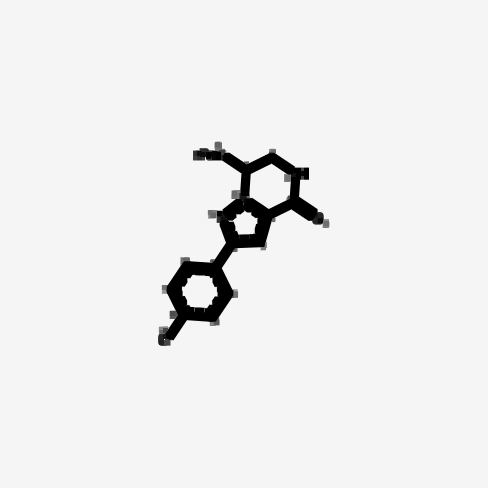 CCCCCC1CNC(=O)c2cc(-c3ccc(Cl)cc3)nn21